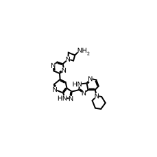 NC1CN(c2cncc(-c3cnc4[nH]nc(-c5nc6c(N7CCCCC7)ccnc6[nH]5)c4c3)n2)C1